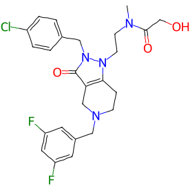 CN(CCn1c2c(c(=O)n1Cc1ccc(Cl)cc1)CN(Cc1cc(F)cc(F)c1)CC2)C(=O)CO